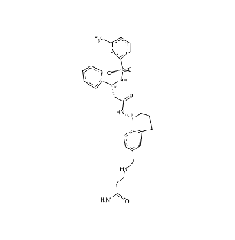 NC(=O)CCNCc1ccc2c(c1)CCC[C@H]2NC(=O)C[C@@H](NS(=O)(=O)c1cccc(C(F)(F)F)c1)c1ccccc1